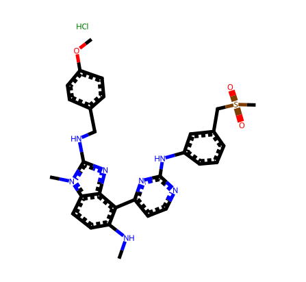 CNc1ccc2c(nc(NCc3ccc(OC)cc3)n2C)c1-c1ccnc(Nc2cccc(CS(C)(=O)=O)c2)n1.Cl